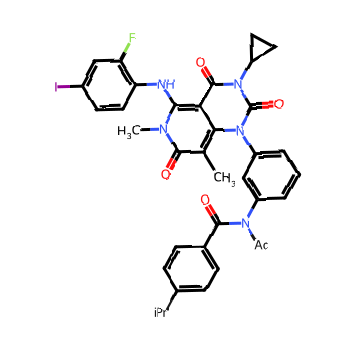 CC(=O)N(C(=O)c1ccc(C(C)C)cc1)c1cccc(-n2c(=O)n(C3CC3)c(=O)c3c(Nc4ccc(I)cc4F)n(C)c(=O)c(C)c32)c1